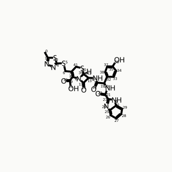 Cc1nnc(SCC2=C(C(=O)O)N3C(=O)C(NC(=O)C(NC(=O)c4nc5ccccc5[nH]4)c4ccc(O)cc4)[C@H]3SC2)s1